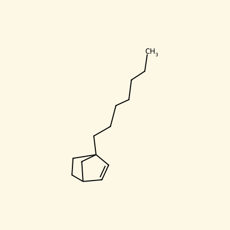 CCCCCCCC12C=CC(CC1)C2